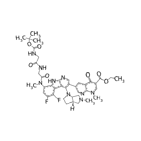 CCOC(=O)c1cn(C)c2ncc(-c3cnc4[nH]c5c(N(C)C(=O)CNC(=O)CNC(=O)OC(C)(C)C)cc(F)c(F)c5c4c3N3CC[C@H]4CN(C)CC43)cc2c1=O